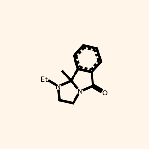 CCN1CCN2C(=O)c3ccccc3C12C